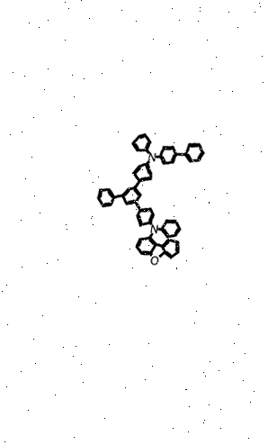 c1ccc(-c2ccc(N(c3ccccc3)c3ccc(-c4cc(-c5ccccc5)cc(-c5ccc(N(c6ccccc6)c6cccc7oc8ccccc8c67)cc5)c4)cc3)cc2)cc1